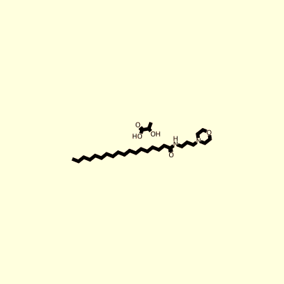 CC(O)C(=O)O.CCCCCCCCCCCCCCCCCC(=O)NCCCN1CCOCC1